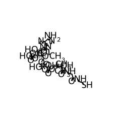 CC(=O)CC(=O)C12N=CN=C(N)C1=NCN2[C@@H]1O[C@H](COP(=O)(O)OP(=O)(O)OCC(C)(C)[C@@H](O)C(=O)NCCC(=O)NCCS)[C@@H](OP(=O)(O)O)[C@H]1O